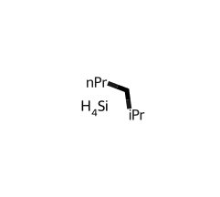 CCCCC(C)C.[SiH4]